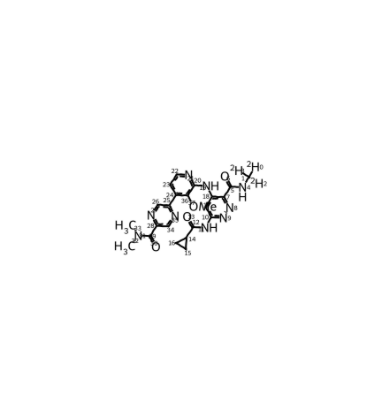 [2H]C([2H])([2H])NC(=O)c1nnc(NC(=O)C2CC2)cc1Nc1nccc(-c2cnc(C(=O)N(C)C)cn2)c1OC